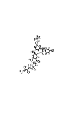 COc1cc(Nc2nc(NC3(c4ccc(Cl)cc4)CC3)nc(OCC(F)(F)F)n2)ccc1C(=O)NCC(C)(C)CNC(=O)C(N)=O